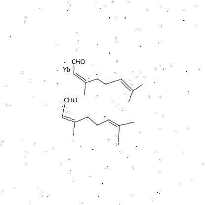 CC(C)=CCC/C(C)=C\C=O.CC(C)=CCC/C(C)=C\C=O.[Yb]